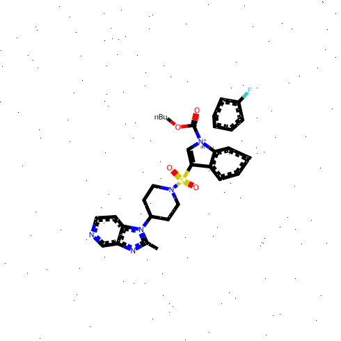 CCCCOC(=O)[N@@+]1(c2ccc(F)cc2)C=C(S(=O)(=O)N2CCC(n3c(C)nc4cnccc43)CC2)c2ccccc21